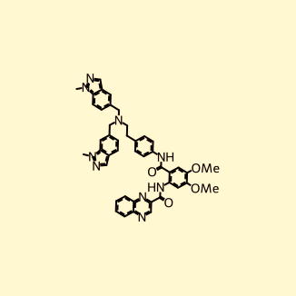 COc1cc(NC(=O)c2cnc3ccccc3n2)c(C(=O)Nc2ccc(CCN(Cc3ccc4c(cnn4C)c3)Cc3ccc4cnn(C)c4c3)cc2)cc1OC